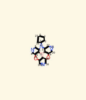 c1ccc(N2c3cncc4c3B3c5c(cncc5Oc5cncc2c53)O4)cc1